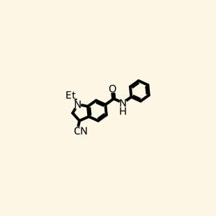 CCN1CC(C#N)c2ccc(C(=O)Nc3ccccc3)cc21